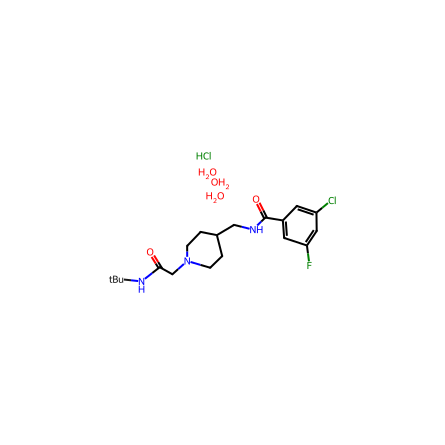 CC(C)(C)NC(=O)CN1CCC(CNC(=O)c2cc(F)cc(Cl)c2)CC1.Cl.O.O.O